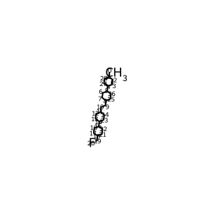 Cc1ccc(C2CCC(CCC3CCC(C4CCC(CF)CC4)CC3)CC2)cc1